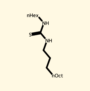 CCCCCCCCCCCNC(=S)NCCCCCC